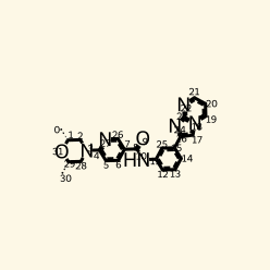 C[C@@H]1CN(c2ccc(C(=O)Nc3cccc(-c4cn5cccnc5n4)c3)cn2)C[C@H](C)O1